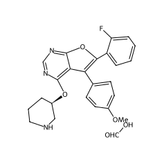 COc1ccc(-c2c(-c3ccccc3F)oc3ncnc(O[C@@H]4CCCNC4)c23)cc1.O=CO